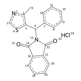 Cc1ncsc1C(c1ccccc1)N1C(=O)c2ccccc2C1=O.Cl